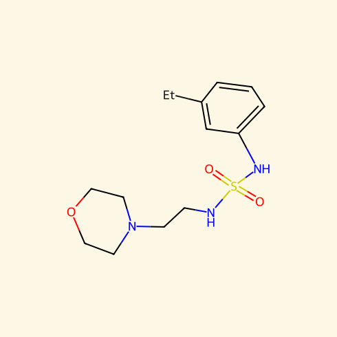 CCc1cccc(NS(=O)(=O)NCCN2CCOCC2)c1